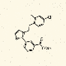 COC(=O)c1ccnc(-c2nccn2CCc2ccc(Cl)cc2C)c1